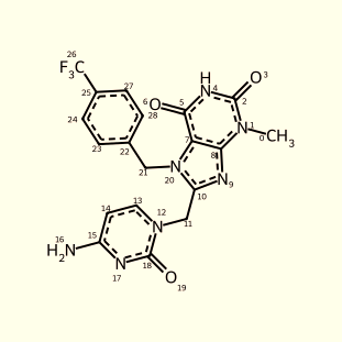 Cn1c(=O)[nH]c(=O)c2c1nc(Cn1ccc(N)nc1=O)n2Cc1ccc(C(F)(F)F)cc1